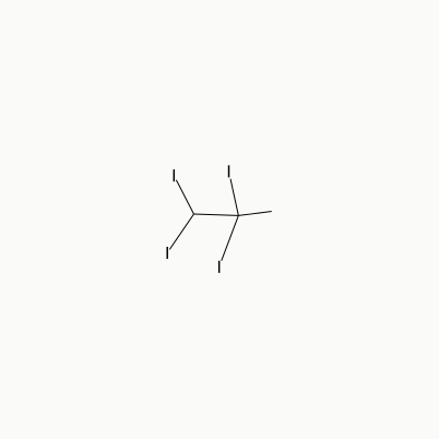 CC(I)(I)C(I)I